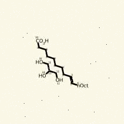 CCCCCCCC/C=C/CCCCCCCC(=O)O.OCC(O)CO